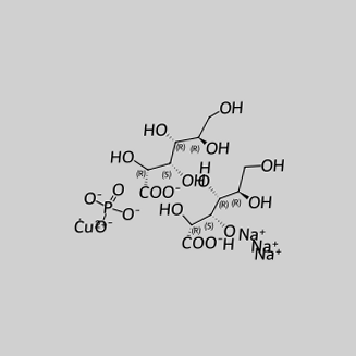 O=C([O-])[C@H](O)[C@@H](O)[C@H](O)[C@H](O)CO.O=C([O-])[C@H](O)[C@@H](O)[C@H](O)[C@H](O)CO.O=P([O-])([O-])[O-].[Cu+2].[Na+].[Na+].[Na+]